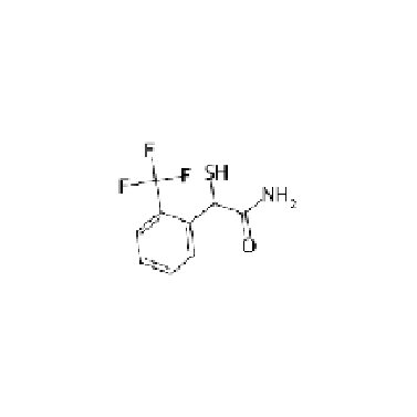 NC(=O)C(S)c1ccccc1C(F)(F)F